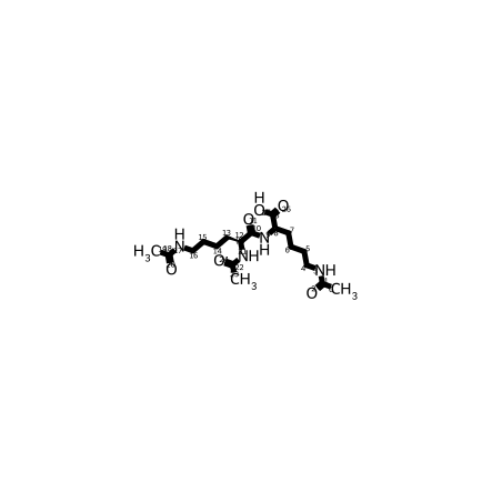 CC(=O)NCCCCC(NC(=O)[C@H](CCCCNC(C)=O)NC(C)=O)C(=O)O